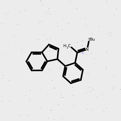 C/C(=N\C(C)(C)C)c1ccccc1C1C=Cc2ccccc21